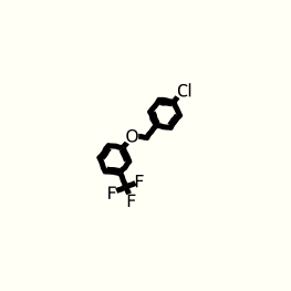 FC(F)(F)c1cccc(OCc2ccc(Cl)cc2)c1